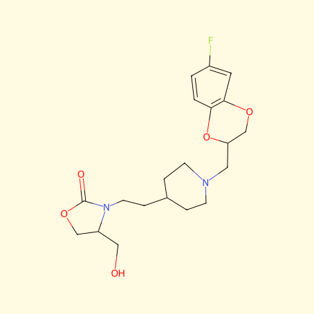 O=C1OCC(CO)N1CCC1CCN(CC2COc3cc(F)ccc3O2)CC1